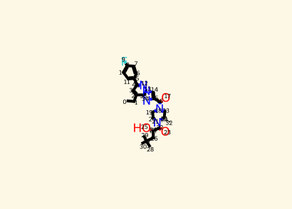 CCc1cc(-c2ccc(F)cc2)nn2cc(C(=O)N3CCN(C(=O)[C@H](O)CC(C)(C)C)[C@@H](C)C3)nc12